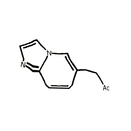 CC(=O)Cc1ccc2nccn2c1